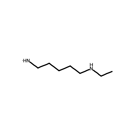 CCNCCCCC[NH]